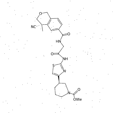 COC(=O)N1CCC[C@@H](c2csc(NC(=O)CNC(=O)c3ccc4c(c3)[C@](C)(C#N)COC4)n2)C1